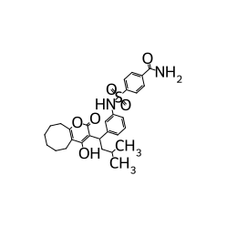 CC(C)CC(c1cccc(NS(=O)(=O)c2ccc(C(N)=O)cc2)c1)c1c(O)c2c(oc1=O)CCCCCC2